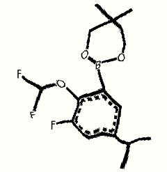 CC(C)c1cc(F)c(OC(F)F)c(B2OCC(C)(C)CO2)c1